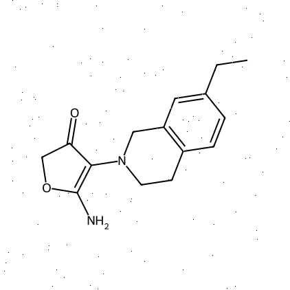 CCc1ccc2c(c1)CN(C1=C(N)OCC1=O)CC2